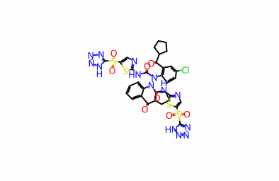 O=C(c1ccccc1N(C(=O)Nc1ncc(S(=O)(=O)c2nnn[nH]2)s1)N(C(=O)Nc1ncc(S(=O)(=O)c2nnn[nH]2)s1)c1ccc(Cl)cc1C(=O)C1CCCC1)C1CCCC1